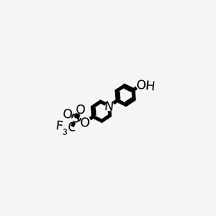 O=S(=O)(OC1=CCN(c2ccc(O)cc2)CC1)C(F)(F)F